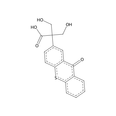 O=C(O)C(CO)(CO)c1ccc2sc3ccccc3c(=O)c2c1